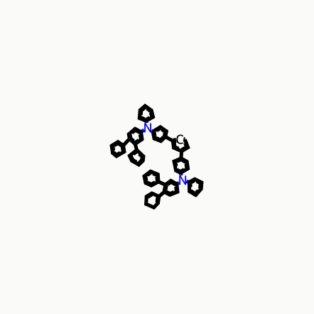 C1=CC(c2ccc(N(c3ccccc3)c3ccc(-c4cccc(-c5ccc(N(c6ccccc6)c6ccc(-c7ccccc7)c(-c7ccccc7)c6)cc5)c4)cc3)cc2-c2ccccc2)=CCC1